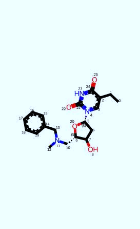 CCc1cn([C@@H]2CC(O)[C@H](CN(C)Cc3ccccc3)O2)c(=O)[nH]c1=O